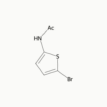 CC(=O)Nc1ccc(Br)s1